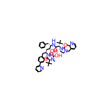 Cc1ncccc1CN1CCN([C@H](C(=O)N[C@@H](Cc2ccccc2)[C@@H](O)C[C@H](Cc2ccc(-c3ccccn3)cc2)NC(=O)[C@@H](N(C)C(=O)O)C(C)(C)C)C(C)(C)C)C1=O